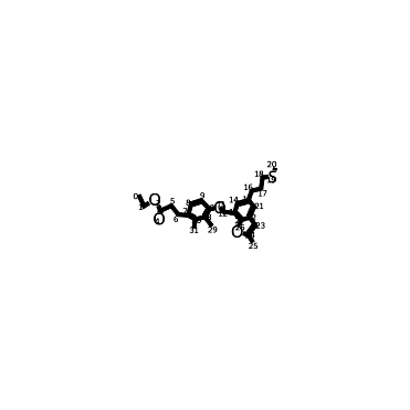 CCOC(=O)CCc1ccc(OCc2cc(CCCSC)cc3cc(C)oc23)c(C)c1C